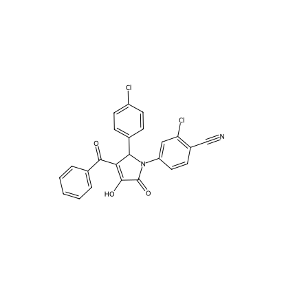 N#Cc1ccc(N2C(=O)C(O)=C(C(=O)c3ccccc3)C2c2ccc(Cl)cc2)cc1Cl